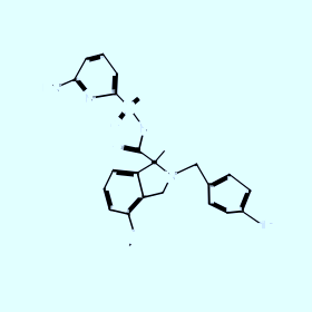 CCOc1cccc2c1CN(Cc1ccc(C(C)C)cc1)C2(C)C(=O)NS(=O)(=O)c1cccc(N)n1